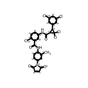 Cc1cc(N2C(=O)C=CC2=O)ccc1NC(=O)c1cc(NC(=O)C2C(c3cc(Cl)cc(Cl)c3)C2(Cl)Cl)ccc1Cl